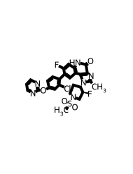 Cc1nc2c(=O)[nH]c3cc(F)c(-c4ccc(Oc5ncccn5)cc4Cl)cc3c2n1[C@H]1CCN(S(C)(=O)=O)C[C@@H]1F